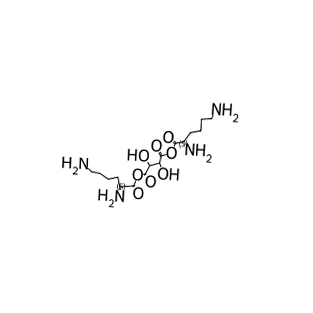 NCCCC[C@H](N)C(=O)OC(=O)C(O)C(O)C(=O)OC(=O)[C@@H](N)CCCCN